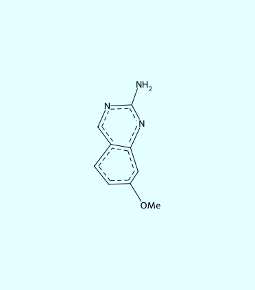 COc1ccc2cnc(N)nc2c1